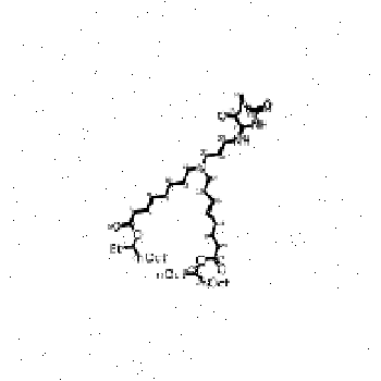 CCCCCCCCC(CC)OC(=O)CCCCCCCN(CCCCCCCC(=O)OC(CCCCCCCC)CCCCCCCC)CCCNC1NC(=O)N(C)C1=O